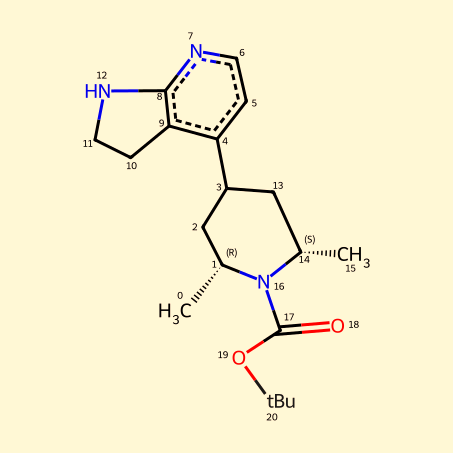 C[C@@H]1CC(c2ccnc3c2CCN3)C[C@H](C)N1C(=O)OC(C)(C)C